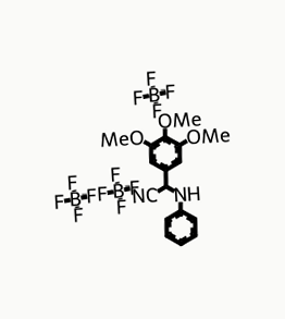 COc1cc(C(C#N)Nc2ccccc2)cc(OC)c1OC.F[B-](F)(F)F.F[B-](F)(F)F.F[B-](F)(F)F